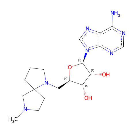 CN1CCC2(CCCN2C[C@H]2O[C@@H](n3cnc4c(N)ncnc43)[C@H](O)[C@@H]2O)C1